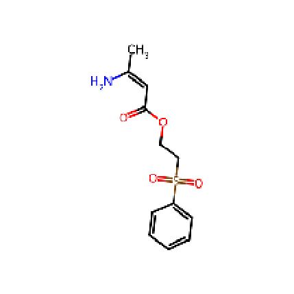 C/C(N)=C/C(=O)OCCS(=O)(=O)c1ccccc1